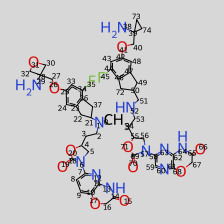 CN(CCC1CN(c2ccc3c(n2)NC(=O)CO3)C(=O)O1)C1Cc2cc(OCC3(N)COC3)cc(F)c2C1.NC1(COc2cc(F)c3c(c2)CC(CNCCC2CN(c4cnc5c(n4)NC(=O)CO5)C(=O)O2)C3)CC1